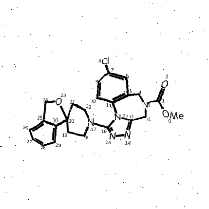 COC(=O)N1Cc2cc(Cl)ccc2-n2c(nnc2N2CCC3(CC2)OCc2ccccc23)C1